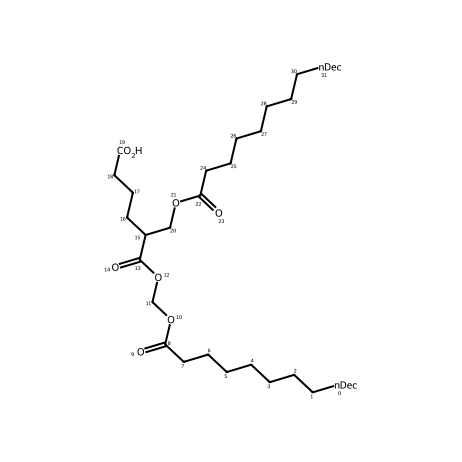 CCCCCCCCCCCCCCCCCC(=O)OCOC(=O)C(CCCC(=O)O)COC(=O)CCCCCCCCCCCCCCCCC